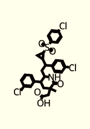 CC1(CC(=O)O)CC(c2cccc(Cl)c2)C(CC(c2ccc(Cl)cc2)C2CC2S(=O)(=O)c2ccc(Cl)cc2)NC1=O